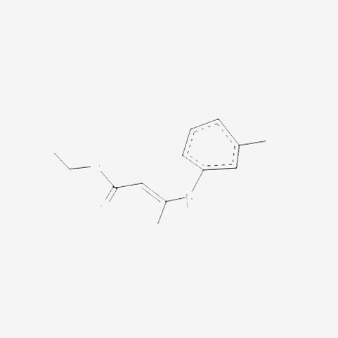 CCOC(=O)C=C(C)Nc1cccc(I)c1